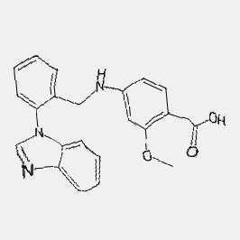 COc1cc(NCc2ccccc2-n2cnc3ccccc32)ccc1C(=O)O